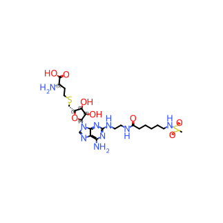 CS(=O)(=O)NCCCCCC(=O)NCCNc1nc(N)c2ncn([C@@H]3O[C@H](CSCC[C@H](N)C(=O)O)[C@@H](O)[C@H]3O)c2n1